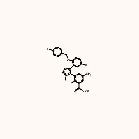 COC(=O)c1cc(N)cc(-n2c(C)ccc2-c2cc(Br)ccc2OCc2ccc(F)cc2)c1C